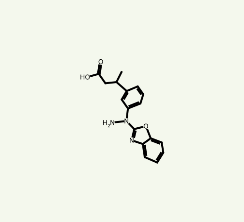 CC(CC(=O)O)c1cccc(N(N)c2nc3ccccc3o2)c1